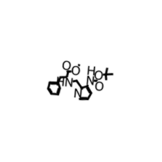 COC(=O)C(Cc1ccccc1)NCc1ncccc1NC(=O)OC(C)(C)C